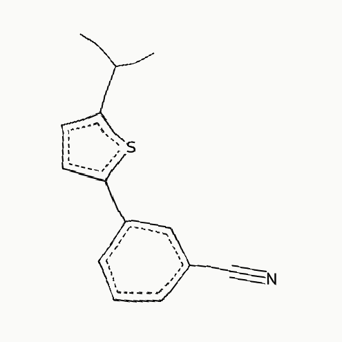 CC(C)c1ccc(-c2cccc(C#N)c2)s1